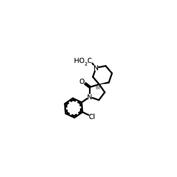 O=C(O)N1CCC[C@]2(CCN(c3ccccc3Cl)C2=O)C1